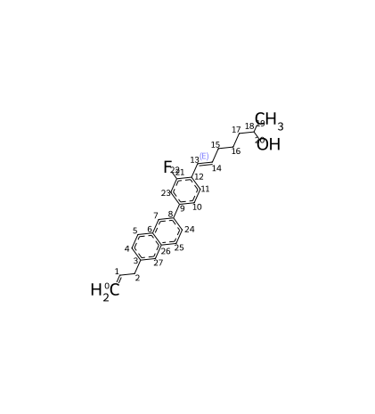 C=CCc1ccc2cc(-c3ccc(/C=C/CCCC(C)O)c(F)c3)ccc2c1